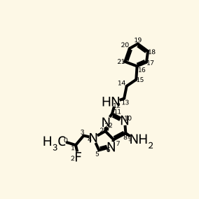 CC(F)Cn1cnc2c(N)nc(NCCCc3ccccc3)nc21